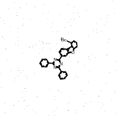 Brc1cccc2oc3cc(-c4nc(-c5ccccc5)nc(-c5ccccc5)n4)ccc3c12